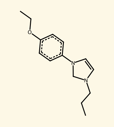 CCCN1C=CN(c2ccc(OCC)cc2)C1